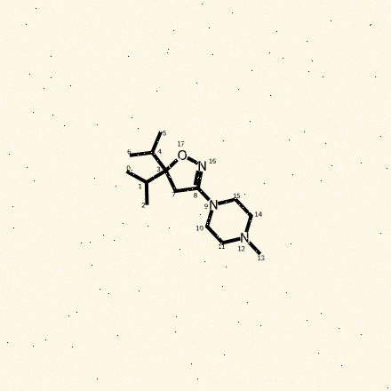 CC(C)C1(C(C)C)CC(N2CCN(C)CC2)=NO1